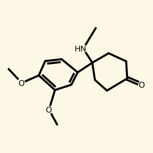 CNC1(c2ccc(OC)c(OC)c2)CCC(=O)CC1